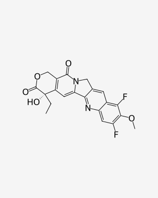 CC[C@@]1(O)C(=O)OCc2c1cc1n(c2=O)Cc2cc3c(F)c(OC)c(F)cc3nc2-1